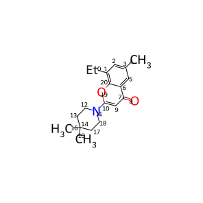 [CH2]Cc1cc(C)cc2c(=O)cc(N3CCC(C)(C)CC3)oc12